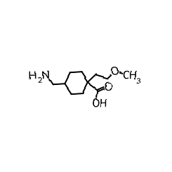 COCCC1(C(=O)O)CCC(CN)CC1